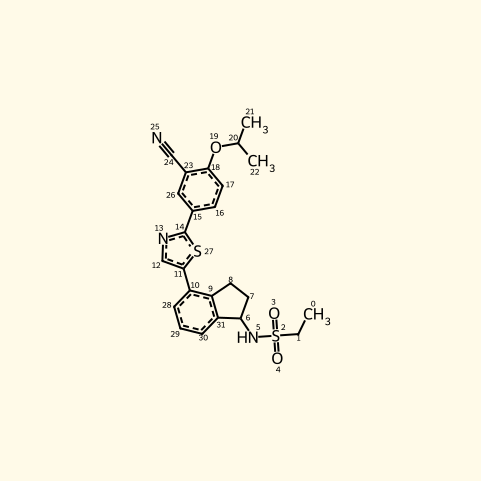 CCS(=O)(=O)NC1CCc2c(-c3cnc(-c4ccc(OC(C)C)c(C#N)c4)s3)cccc21